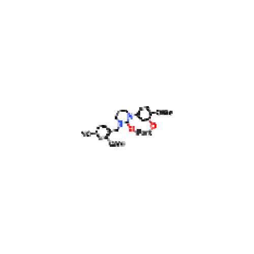 CCCCCOc1cc(N2CCCN(Cc3ccc(C#N)cc3OC)C2=O)ccc1OC